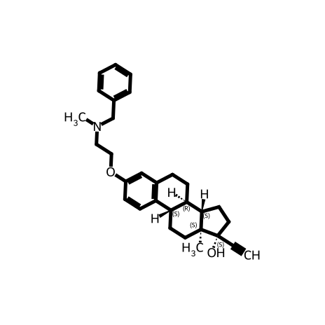 C#C[C@]1(O)CC[C@H]2[C@@H]3CCc4cc(OCCN(C)Cc5ccccc5)ccc4[C@H]3CC[C@@]21C